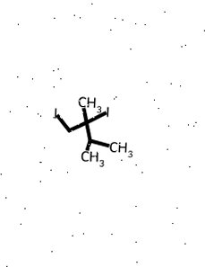 CC(C)C(C)(I)CI